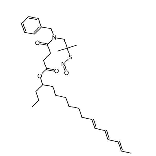 C/C=C/C=C/C=C/CCCCCCC(CCC)OC(=O)CCC(=O)N(Cc1ccccc1)CC(C)(C)SN=O